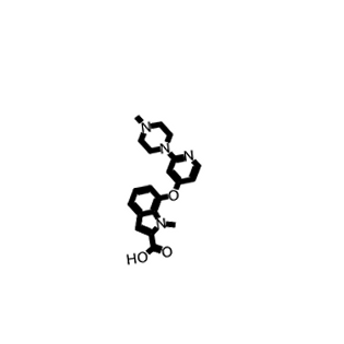 CN1CCN(c2cc(Oc3cccc4cc(C(=O)O)n(C)c34)ccn2)CC1